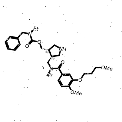 CCN(Cc1ccccc1)C(=O)OC[C@@H]1CNC[C@H]1CN(C(=O)c1ccc(OC)c(OCCCOC)c1)C(C)C